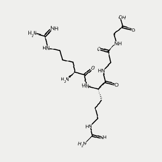 N=C(N)NCCC[C@H](NC(=O)[C@@H](N)CCCNC(=N)N)C(=O)NCC(=O)NCC(=O)O